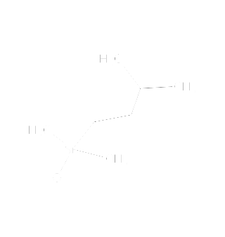 CC(C)CC[Si](C)(C)[O]